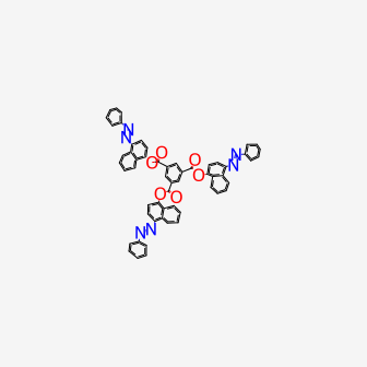 O=C(Oc1ccc(/N=N/c2ccccc2)c2ccccc12)c1cc(C(=O)Oc2ccc(/N=N/c3ccccc3)c3ccccc23)cc(C(=O)Oc2ccc(/N=N/c3ccccc3)c3ccccc23)c1